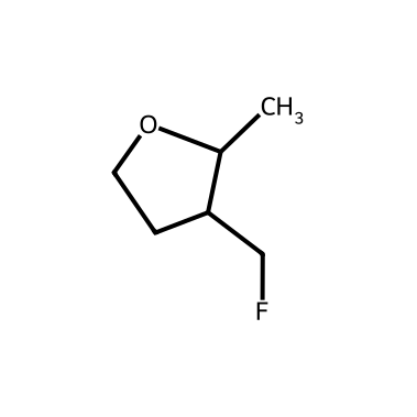 CC1OCCC1CF